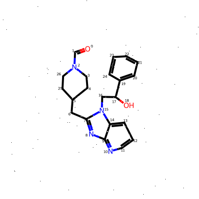 O=[C]N1CCC(Cc2nc3ncccc3n2CC(O)c2ccccc2)CC1